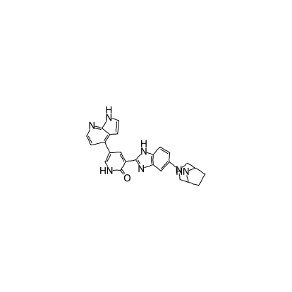 O=c1[nH]cc(-c2ccnc3[nH]ccc23)cc1-c1nc2cc(N3CC4CCC(C3)N4)ccc2[nH]1